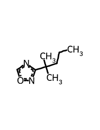 CCCC(C)(C)c1ncon1